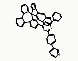 c1ccc(-c2cc(-c3ccc4c(c3)C3(c5ccccc5-c5ccccc5-4)c4ccccc4-c4cc5ccccc5cc43)nc(-c3ccc(-c4cccnc4)cc3)n2)cc1